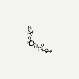 CC(F)(F)COc1cc(CNC(=O)NC23CC(F)(C2)C3)ccn1